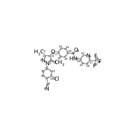 Cc1nn(-c2ccc(C#N)c(Cl)c2)c(C)c1Oc1ccc(C(=O)Nc2ccc(C(F)(F)F)nc2)cc1